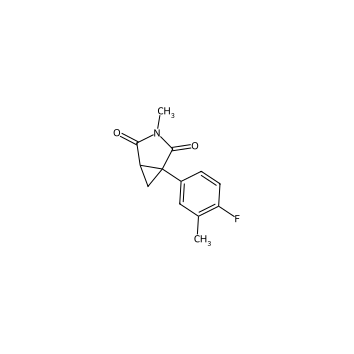 Cc1cc(C23CC2C(=O)N(C)C3=O)ccc1F